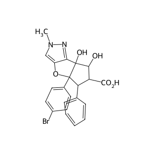 Cn1cc2c(n1)C1(O)C(O)C(C(=O)O)C(c3ccccc3)C1(c1ccc(Br)cc1)O2